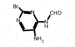 Nc1cnc(Br)nc1NC=O